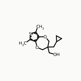 Cc1sc(C)c2c1OCC(CO)(CC1CC1)CO2